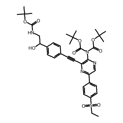 CCS(=O)(=O)c1ccc(-c2cnc(N(C(=O)OC(C)(C)C)C(=O)OC(C)(C)C)c(C#Cc3ccc(C(O)CNC(=O)OC(C)(C)C)cc3)n2)cc1